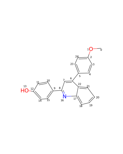 COc1ccc(-c2cc(-c3ccc(O)cc3)nc3ccccc23)cc1